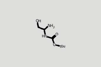 CC(C)(C)OC(=O)NC(N)CO